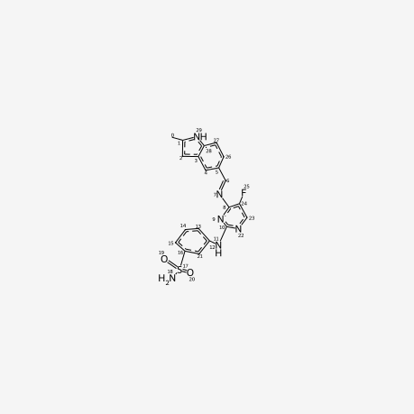 Cc1cc2cc(C=Nc3nc(Nc4cccc(S(N)(=O)=O)c4)ncc3F)ccc2[nH]1